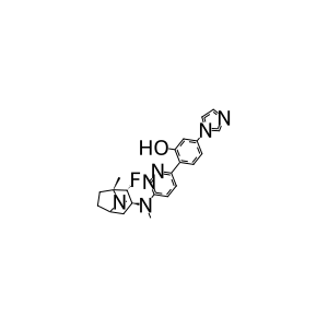 CN(c1ccc(-c2ccc(-n3ccnc3)cc2O)nn1)[C@H]1CC2CC[C@](C)([C@@H]1F)N2C